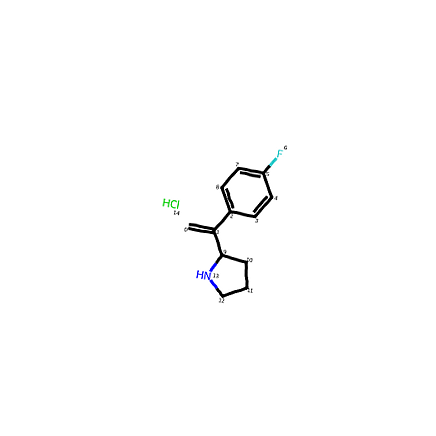 C=C(c1ccc(F)cc1)C1CCCN1.Cl